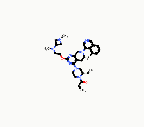 C=CC(=O)N1CCN(c2nc(OCCN(C)C3CN(C)C3)nc3c2CCN(c2cncc4cccc(C)c24)C3)C[C@@H]1CC#N